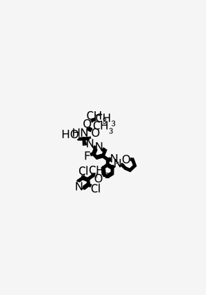 C[C@@H](Oc1ccc2c(c1)c(-c1cnc(N3CC(CO)(NC(=O)OC(C)(C)C)C3)c(F)c1)nn2C1CCCCO1)c1c(Cl)cncc1Cl